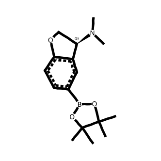 CN(C)[C@@H]1COc2ccc(B3OC(C)(C)C(C)(C)O3)cc21